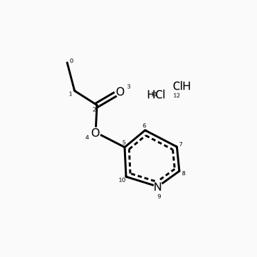 CCC(=O)Oc1cccnc1.Cl.Cl